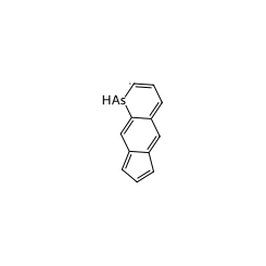 [C]1=CC=c2cc3c(cc2[AsH]1)=CC=C3